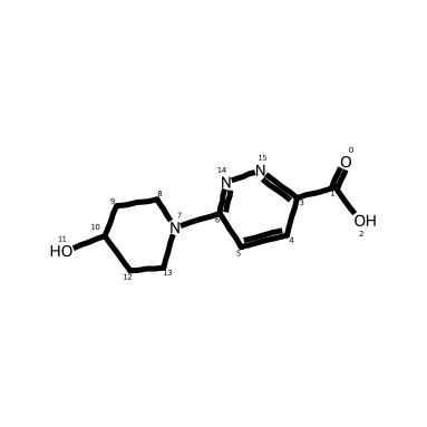 O=C(O)c1ccc(N2CCC(O)CC2)nn1